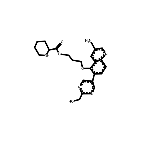 Nc1cnc2ccc(-c3cnc(CO)nc3)c(OCCCOC(=O)C3CCCCN3)c2c1